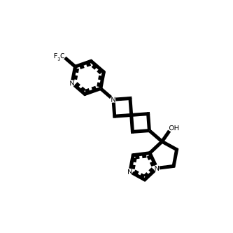 OC1(C2CC3(C2)CN(c2ccc(C(F)(F)F)nc2)C3)CCn2cncc21